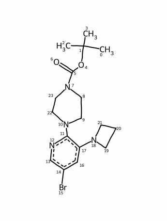 CC(C)(C)OC(=O)N1CCN(c2ncc(Br)cc2N2CCC2)CC1